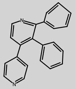 c1ccc(-c2nccc(-c3ccncc3)c2-c2ccccc2)cc1